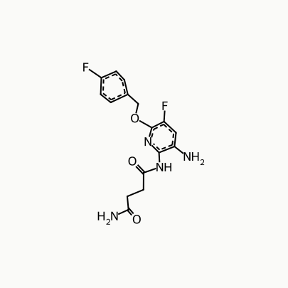 NC(=O)CCC(=O)Nc1nc(OCc2ccc(F)cc2)c(F)cc1N